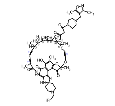 C/C1=C/C=C/[C@H](C)[C@H](O)[C@@H](C)[C@@H](O)[C@@H](C)[C@H](OC(=O)CC(=O)N2CCN(Cc3c(C)noc3C)CC2)[C@H](C)C/C=C/O[C@@]2(C)Oc3c(C)c(O)c4c(c3C2=O)C2=NC3(CCN(CC(C)C)CC3)NC2=C(NC1=O)C4=O